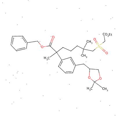 CCOC(=O)CS(=O)(=O)CC(C)(C)CCCC(C)(C(=O)OCc1ccccc1)c1cccc(CC2COC(C)(C)O2)c1